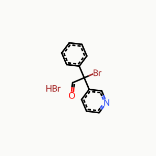 Br.O=CC(Br)(c1ccccc1)c1cccnc1